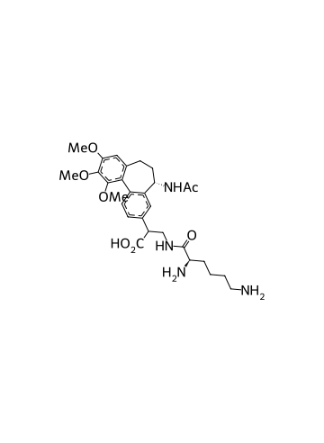 COc1cc2c(c(OC)c1OC)-c1ccc(C(CNC(=O)[C@H](N)CCCCN)C(=O)O)cc1[C@@H](NC(C)=O)CC2